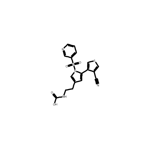 N#Cc1cscc1-c1cc(CCNC(=O)O)cn1S(=O)(=O)c1cccnc1